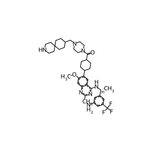 COc1cc2nc(C)nc(N[C@H](C)c3cc(N)cc(C(F)(F)F)c3)c2cc1C1CCC(C(=O)N2CCN(CC3CCC4(CCNCC4)CC3)CC2)CC1